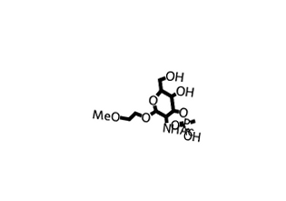 COCCOC1OC(CO)C(O)C(OP(C)(=O)O)C1NC(C)=O